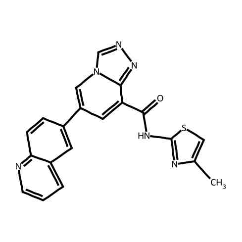 Cc1csc(NC(=O)c2cc(-c3ccc4ncccc4c3)cn3cnnc23)n1